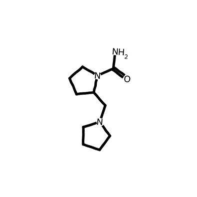 NC(=O)N1CCCC1CN1CCCC1